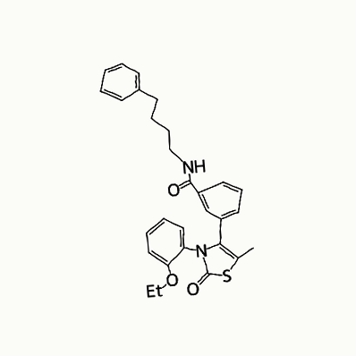 CCOc1ccccc1-n1c(-c2cccc(C(=O)NCCCCc3ccccc3)c2)c(C)sc1=O